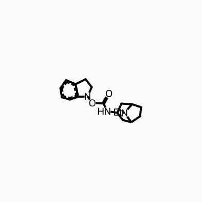 CCN1C2CCC1CC(NC(=O)ON1CCc3ccccc31)C2